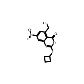 O=c1oc(OC2CCC2)nc2cc([N+](=O)[O-])cc(CS)c12